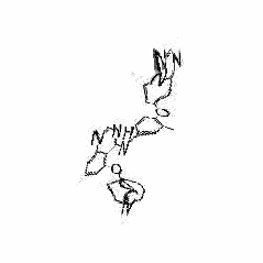 Cc1cc(Nc2ncnc3cccc(OC45CCN(CC4)CC5)c23)ccc1Oc1ccn2ncnc2c1